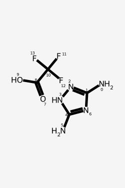 Nc1n[nH]c(N)n1.O=C(O)C(F)(F)F